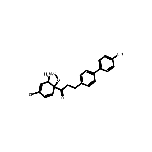 COC1(C(=O)CCc2ccc(-c3ccc(O)cc3)cc2)C=CC(Cl)=CC1N